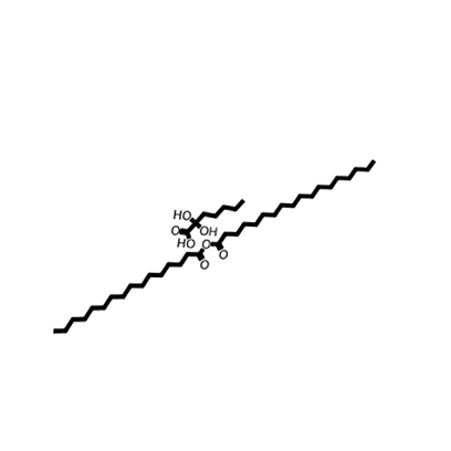 CCCCCC(O)(O)C(=O)O.CCCCCCCCCCCCCCCCCC(=O)OC(=O)CCCCCCCCCCCCCCC